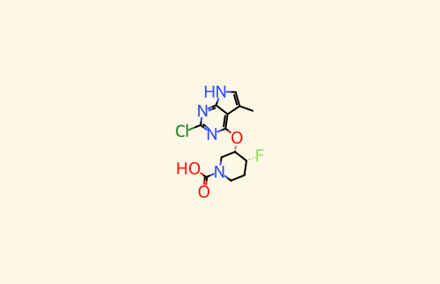 Cc1c[nH]c2nc(Cl)nc(O[C@H]3CN(C(=O)O)CC[C@H]3F)c12